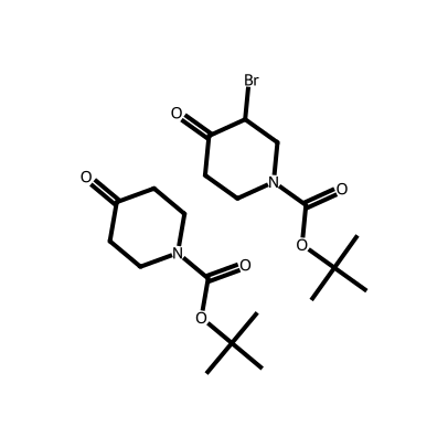 CC(C)(C)OC(=O)N1CCC(=O)C(Br)C1.CC(C)(C)OC(=O)N1CCC(=O)CC1